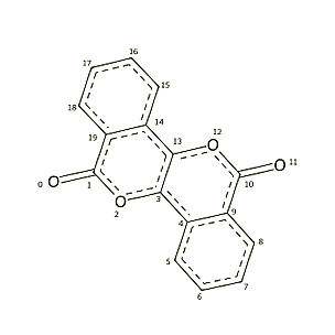 O=c1oc2c3ccccc3c(=O)oc2c2ccccc12